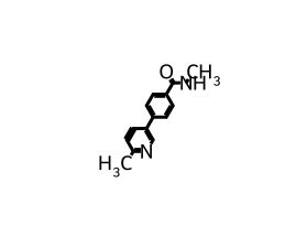 CNC(=O)c1ccc(-c2c#cc(C)nc2)cc1